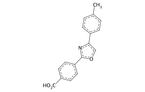 Cc1ccc(-c2coc(-c3ccc(C(=O)O)cc3)n2)cc1